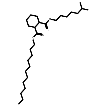 CCCCCCCCCCCCOC(=O)C1CCCCC1C(=O)OCCCCCC(C)C